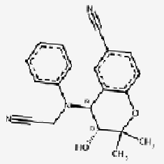 CC1(C)Oc2ccc(C#N)cc2[C@H](N(CC#N)c2ccccc2)[C@H]1O